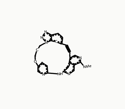 CNc1ncc2c3cc(ncc13)Nc1ccc(cn1)OCCCn1nnc3ccc(cc31)C#C2